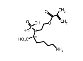 C=C(C)C(=O)OCCN([C@@H](CCCCN)C(=O)O)P(=O)(O)O